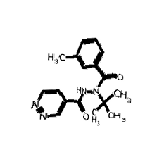 Cc1cccc(C(=O)N(NC(=O)c2ccnnc2)C(C)(C)C)c1